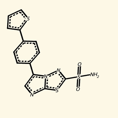 NS(=O)(=O)c1nn2c(-c3ccc(-c4cccs4)cc3)cnc2s1